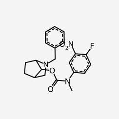 CN(C(=O)OC1C2CCC1N(Cc1ccccc1)C2)c1ccc(F)c([N+](=O)[O-])c1